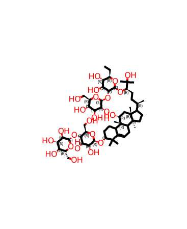 CC[C@H]1O[C@@H](O[C@H](CC[C@@H](C)C2CC[C@@]3(C)C4CC=C5C(CC[C@H](O[C@@H]6O[C@H](CO)[C@@H](O[C@@H]7O[C@H](CO)[C@@H](O)[C@H](O)[C@H]7O)[C@H](O)[C@H]6O)C5(C)C)[C@]4(C)[C@H](O)C[C@]23C)C(C)(C)O)[C@H](O[C@@H]2O[C@H](CO)[C@@H](O)[C@H](O)[C@H]2O)[C@@H](O)[C@@H]1O